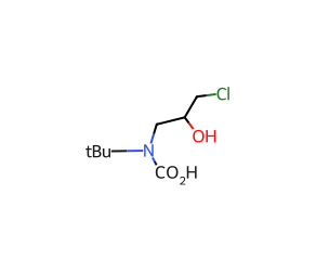 CC(C)(C)N(CC(O)CCl)C(=O)O